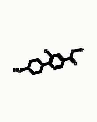 CC(C)OC(=O)c1cnc(N2CCN(C(=O)O)CC2)c(Cl)c1